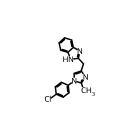 Cc1nc(Cc2nc3ccccc3[nH]2)cn1-c1ccc(Cl)cc1